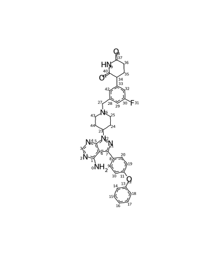 Nc1ncnc2c1c(-c1ccc(Oc3ccccc3)cc1)nn2C1CCN(Cc2cc(F)cc(C3CCC(=O)NC3=O)c2)CC1